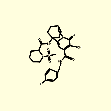 CS(=O)(=O)N1CCCCC1C(=O)NC12CCC(CC1)Cn1c2nc(C(=O)NCc2ccc(F)cc2)c(O)c1=O